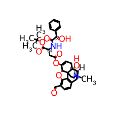 CN1CCC23c4c5ccc(C=O)c4OC2C(OC(=O)C[C@H](NC(=O)[C@@H](O)c2ccccc2)C(=O)OC(C)(C)C)=CC[C@@]3(O)[C@H]1C5